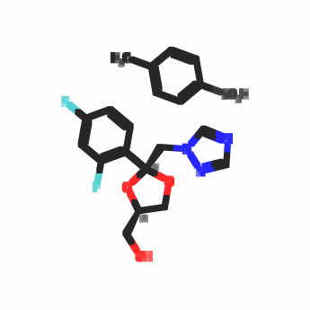 Cc1ccc(S(=O)(=O)O)cc1.OC[C@@H]1CO[C@@](Cn2cncn2)(c2ccc(F)cc2F)O1